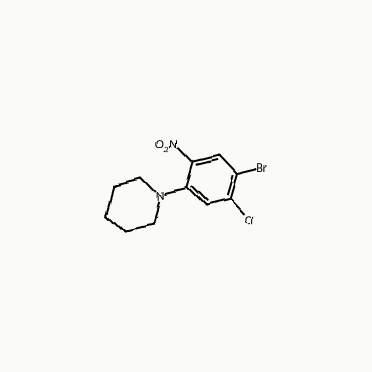 O=[N+]([O-])c1cc(Br)c(Cl)cc1N1CCCCC1